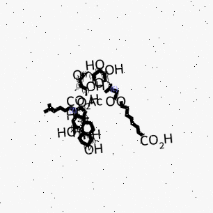 C/C(=C\C(=O)OCCCCCCCCC(=O)O)C[C@@H]1OC[C@H](C[C@@H]2O[C@H]2[C@@H](C)[C@H](C)O)[C@@H](O)[C@H]1O.CC(=O)O[C@H]1C[C@@]2(C)[C@@H](C[C@@H](O)[C@H]3[C@@]4(C)CC[C@@H](O)[C@@H](C)[C@@H]4CC[C@@]32C)/C1=C(\CCC=C(C)C)C(=O)O